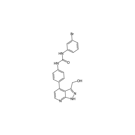 O=C(Nc1ccc(-c2ccnc3[nH]nc(CO)c23)cc1)Nc1cccc(Br)c1